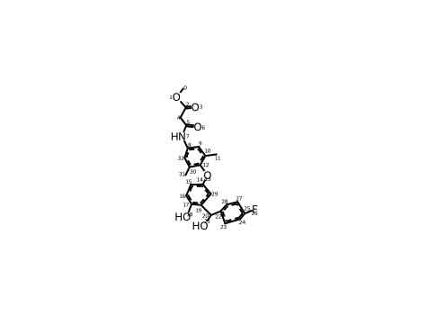 COC(=O)CC(=O)Nc1cc(C)c(Oc2ccc(O)c(C(O)c3ccc(F)cc3)c2)c(C)c1